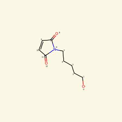 [O]CCCCCN1C(=O)C=CC1=O